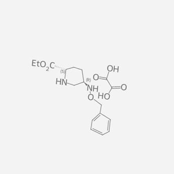 CCOC(=O)[C@@H]1CC[C@@H](NOCc2ccccc2)CN1.O=C(O)C(=O)O